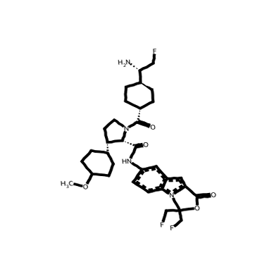 COC1CCC([C@@H]2CCN(C(=O)[C@H]3CC[C@H]([C@H](N)CF)CC3)[C@@H]2C(=O)Nc2ccc3c(c2)cc2n3C(CF)(CF)OC2=O)CC1